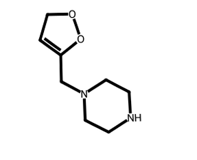 C1=C(CN2CCNCC2)OOC1